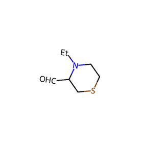 CCN1CCSCC1C=O